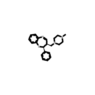 CN1CCN(C[C@@H]2C=Nc3ccccc3S[C@@H]2c2ccccc2)CC1